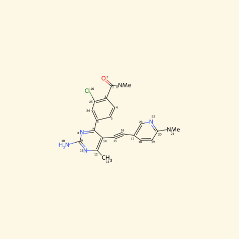 CNC(=O)c1ccc(-c2nc(N)nc(C)c2C#Cc2ccc(NC)nc2)cc1Cl